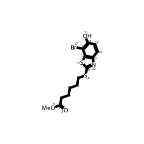 COC(=O)CCCCCSc1nc2ccc(O)c(Br)c2s1